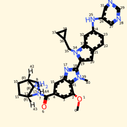 COc1cc(C(=O)N2C[C@H]3CC[C@@H]2[C@@H]3N)cc2nc(-c3cc4ccc(Nc5cncnc5)cc4n3CC3CC3)n(C)c12